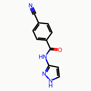 N#Cc1ccc(C(=O)Nc2cc[nH]n2)cc1